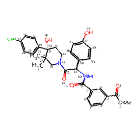 COC(=O)c1cccc(C(=O)NC(C(=O)N2CC[C@](O)(c3ccc(Cl)cc3)C(C)(C)C2)c2ccc(O)cc2)c1